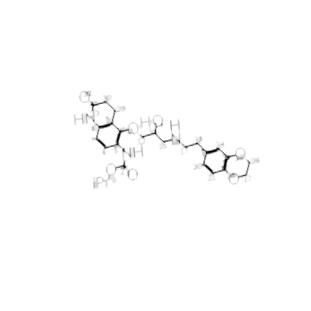 CC(C)OC(=O)Nc1ccc2c(c1OCC(O)CNCCc1ccc3c(c1)OCCO3)CCC(=O)N2